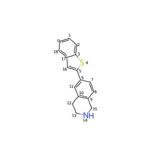 c1ccc2sc(-c3ccc4c(c3)CCNC4)cc2c1